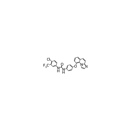 O=C(Nc1ccc(Oc2cccc3ccc4nccn4c23)cc1)Nc1ccc(Cl)c(C(F)(F)F)c1